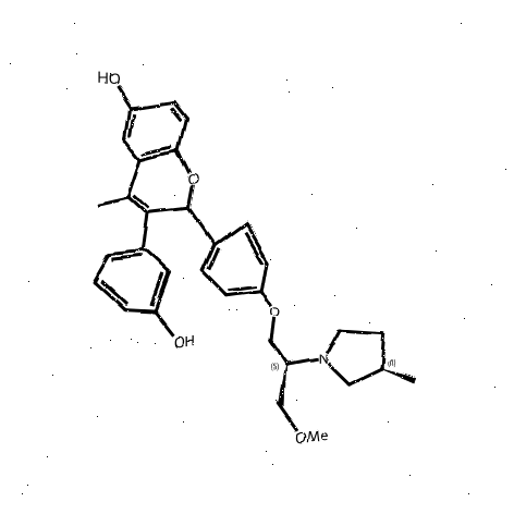 COC[C@@H](COc1ccc(C2Oc3ccc(O)cc3C(C)=C2c2cccc(O)c2)cc1)N1CC[C@@H](C)C1